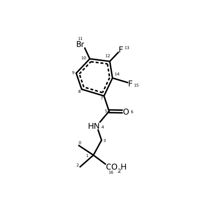 CC(C)(CNC(=O)c1ccc(Br)c(F)c1F)C(=O)O